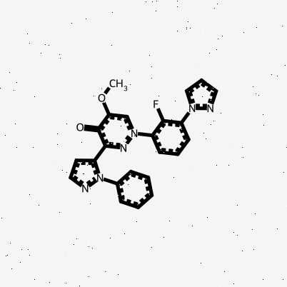 COc1cn(-c2cccc(-n3cccn3)c2F)nc(-c2ccnn2-c2ccccc2)c1=O